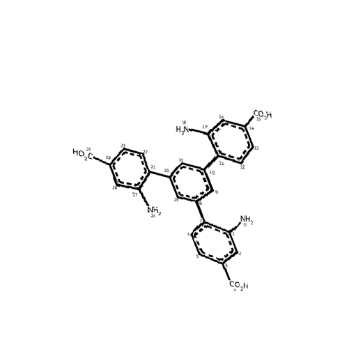 Nc1cc(C(=O)O)ccc1-c1cc(-c2ccc(C(=O)O)cc2N)cc(-c2ccc(C(=O)O)cc2N)c1